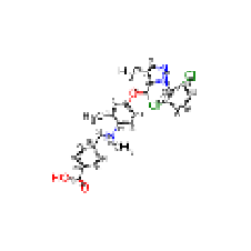 Cc1cc(OCc2c(C)cnn2-c2c(Cl)cccc2Cl)ccc1N(C)Cc1ccc(C(=O)O)cc1